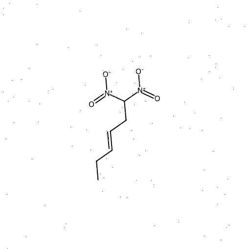 CCC=CCC([N+](=O)[O-])[N+](=O)[O-]